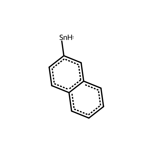 [SnH][c]1ccc2ccccc2c1